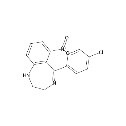 O=[N+]([O-])c1cccc2c1C(c1ccc(Cl)cc1)=NCCN2